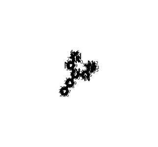 CC1=NC(C)(C)C(C)(C)N1c1cncc(-c2cc(-c3ccc(-c4ccccc4)cc3)cc(-c3cncc(N4C(C)=NC(C)(C)C4(C)C)c3)n2)c1